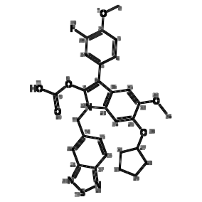 COc1ccc(-c2c(OC(=O)O)n(Cc3ccc4nsnc4c3)c3cc(OC4CCCC4)c(OC)cc23)cc1F